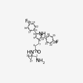 NCC1(NC(=O)CCc2cc(-c3ccc(F)cc3)[nH]c2-c2ccc(F)cc2)CC1